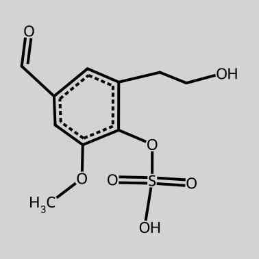 COc1cc(C=O)cc(CCO)c1OS(=O)(=O)O